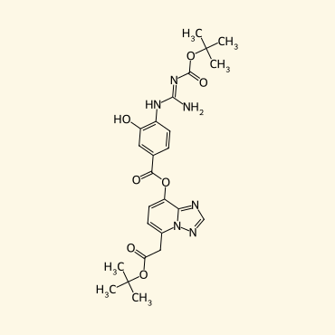 CC(C)(C)OC(=O)Cc1ccc(OC(=O)c2ccc(N/C(N)=N/C(=O)OC(C)(C)C)c(O)c2)c2ncnn12